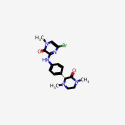 CN1CCN(C)[C@H](c2ccc(Nc3nc(Br)cn(C)c3=O)cc2)C1=O